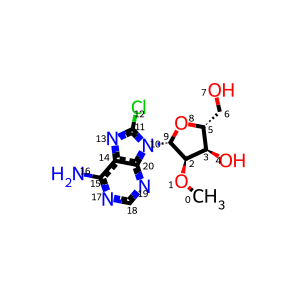 CO[C@@H]1[C@H](O)[C@@H](CO)O[C@H]1n1c(Cl)nc2c(N)ncnc21